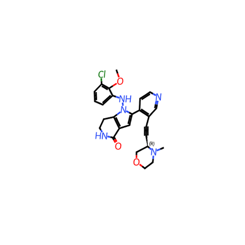 COc1c(Cl)cccc1Nn1c(-c2ccncc2C#C[C@@H]2COCCN2C)cc2c1CCNC2=O